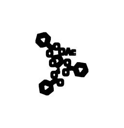 CC(=O)O[C@@H]1[C@@H](OC(=O)c2ccccc2)O[C@@H](COC(=O)c2ccccc2)[C@@H]1OC(=O)c1ccccc1